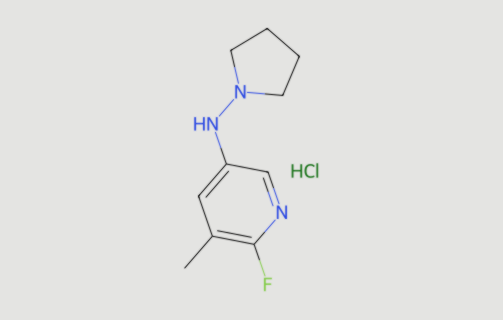 Cc1cc(NN2CCCC2)cnc1F.Cl